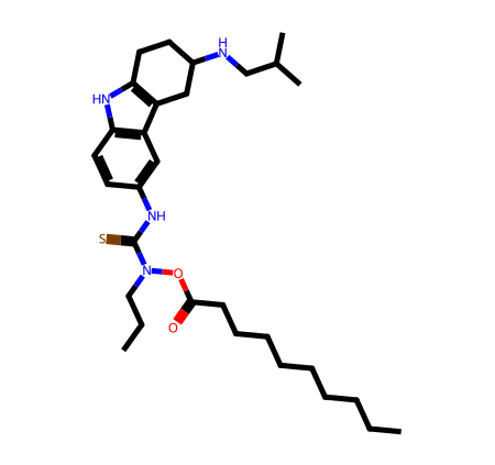 CCCCCCCCCC(=O)ON(CCC)C(=S)Nc1ccc2[nH]c3c(c2c1)CC(NCC(C)C)CC3